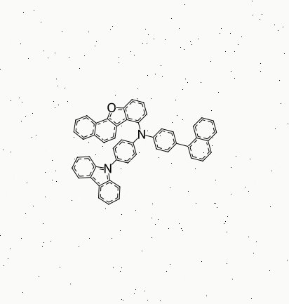 c1ccc2c(-c3ccc(N(c4ccc(-n5c6ccccc6c6ccccc65)cc4)c4cccc5oc6c7ccccc7ccc6c45)cc3)cccc2c1